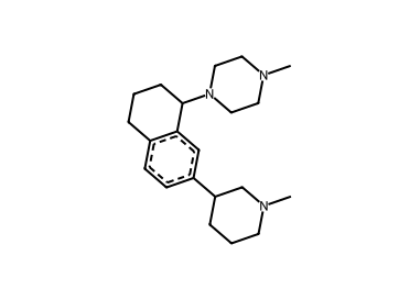 CN1CCN(C2CCCc3ccc(C4CCCN(C)C4)cc32)CC1